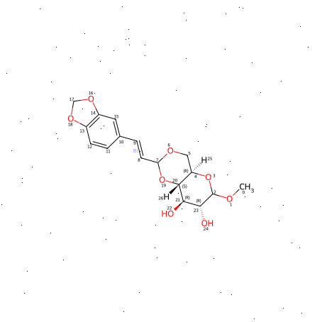 COC1O[C@@H]2COC(/C=C/c3ccc4c(c3)OCO4)O[C@H]2[C@H](O)[C@H]1O